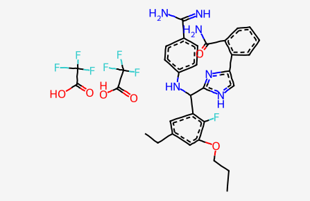 CCCOc1cc(CC)cc(C(Nc2ccc(C(=N)N)cc2)c2nc(-c3ccccc3C(N)=O)c[nH]2)c1F.O=C(O)C(F)(F)F.O=C(O)C(F)(F)F